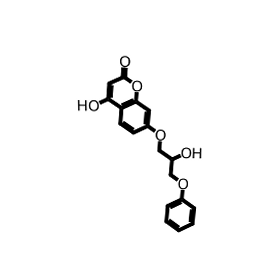 O=c1cc(O)c2ccc(OCC(O)COc3ccccc3)cc2o1